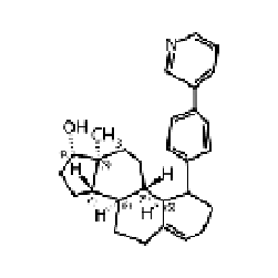 C[C@]12CC[C@H]3[C@@H](CCC4=CCCC(c5ccc(-c6cccnc6)cc5)[C@@H]43)[C@@H]1CC[C@@H]2O